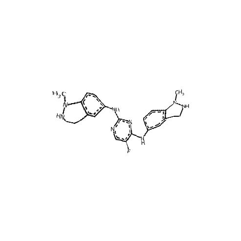 CN1NCc2cc(Nc3ncc(F)c(Nc4ccc5c(c4)CNN5C)n3)ccc21